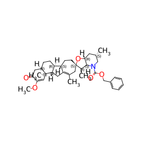 COC1=C[C@@]2(C)[C@H](CC[C@H]3[C@@H]4CC[C@@]5(CC(C)=C4C[C@@H]32)O[C@@H]2C[C@H](C)CN(C(=O)OCc3ccccc3)[C@H]2[C@H]5C)CC1=O